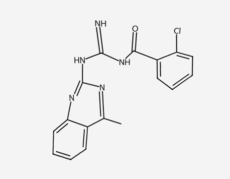 Cc1nc(NC(=N)NC(=O)c2ccccc2Cl)nc2ccccc12